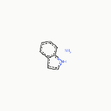 N.c1ccc2[nH]ccc2c1